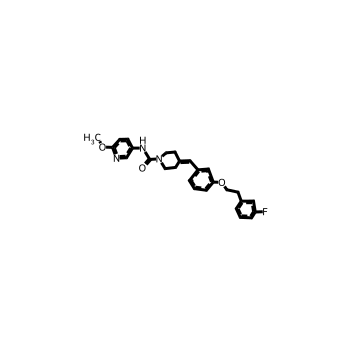 COc1ccc(NC(=O)N2CCC(=Cc3cccc(OCCc4cccc(F)c4)c3)CC2)cn1